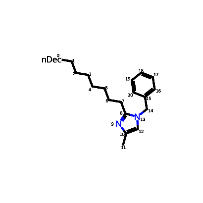 CCCCCCCCCCCCCCCCCc1nc(C)cn1Cc1ccccc1